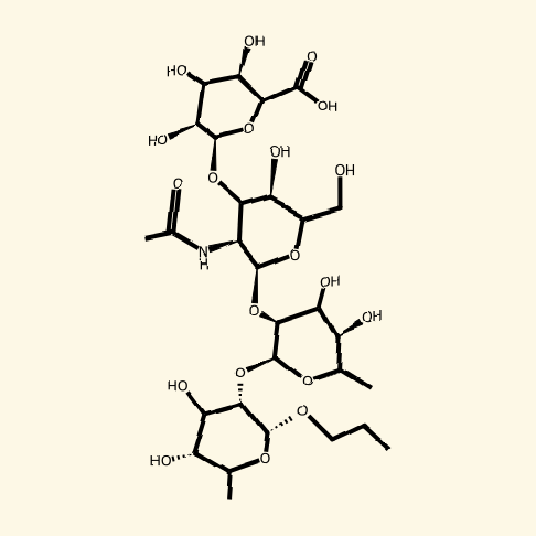 CCCO[C@@H]1OC(C)[C@H](O)C(O)[C@@H]1O[C@@H]1OC(C)[C@H](O)C(O)[C@@H]1O[C@@H]1OC(CO)[C@H](O)C(O[C@@H]2OC(C(=O)O)[C@H](O)C(O)[C@@H]2O)[C@@H]1NC(C)=O